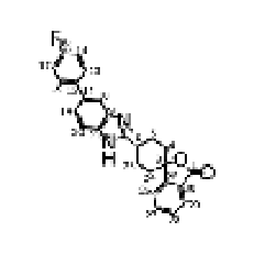 O=C1O[C@]2(CC[C@H](c3nc4cc(-c5ccc(F)cc5)ccc4[nH]3)CC2)c2ccccc21